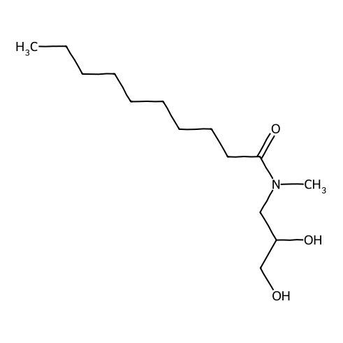 CCCCCCCCCC(=O)N(C)CC(O)CO